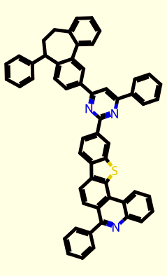 c1ccc(-c2cc(-c3ccc4c(c3)-c3ccccc3CCC4c3ccccc3)nc(-c3ccc4c(c3)sc3c4ccc4c(-c5ccccc5)nc5ccccc5c43)n2)cc1